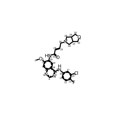 COc1cc2ncnc(Nc3ccc(F)c(Cl)c3)c2cc1NC(=O)C=CCN1CC2COCC2C1